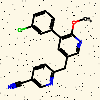 COc1ncc(Cc2ccc(C#N)cn2)cc1-c1cccc(Cl)c1